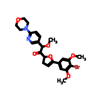 COc1cc(C2=CCC(C(=O)C(OC)c3ccc(N4CCOCC4)nc3)O2)cc(OC)c1Br